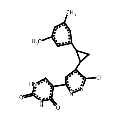 Cc1cc(C)cc(C2CC2c2cc(-c3c[nH]c(=O)[nH]c3=O)nnc2Cl)c1